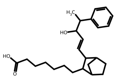 CC(c1ccccc1)C(O)C=CC1C2CCC(C2)C1CCCCCCC(=O)O